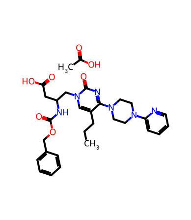 CC(=O)O.CCCc1cn(CC(CC(=O)O)NC(=O)OCc2ccccc2)c(=O)nc1N1CCN(c2ccccn2)CC1